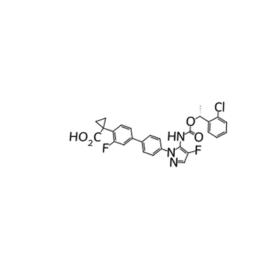 C[C@@H](OC(=O)Nc1c(F)cnn1-c1ccc(-c2ccc(C3(C(=O)O)CC3)c(F)c2)cc1)c1ccccc1Cl